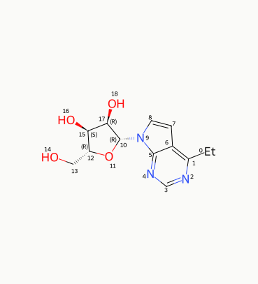 CCc1ncnc2c1ccn2[C@@H]1O[C@H](CO)[C@@H](O)[C@H]1O